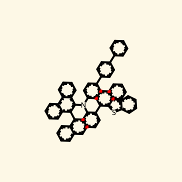 c1ccc(-c2ccc(-c3ccc(N(c4ccccc4-c4cccc5c4sc4ccccc45)c4c(-c5cccc6ccccc56)c5ccccc5c5ccccc45)cc3-c3ccccc3)cc2)cc1